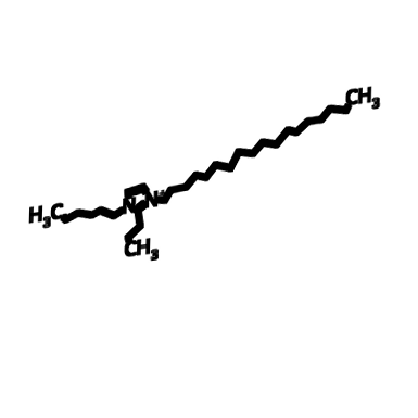 CCCCCCCCCCCCCCCCCC[n+]1ccn(CCCCCC)c1CCC